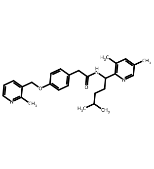 Cc1cnc(C(CCC(C)C)NC(=O)Cc2ccc(OCc3cccnc3C)cc2)c(C)c1